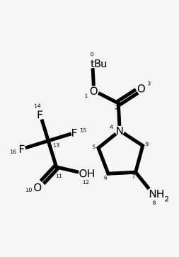 CC(C)(C)OC(=O)N1CCC(N)C1.O=C(O)C(F)(F)F